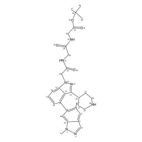 Cn1ncc2cc(F)c(-c3cccc4c3c(C3CCNCC3)nn4CC(=O)NCC(=O)NCC(=O)OC(C)(C)C)cc21